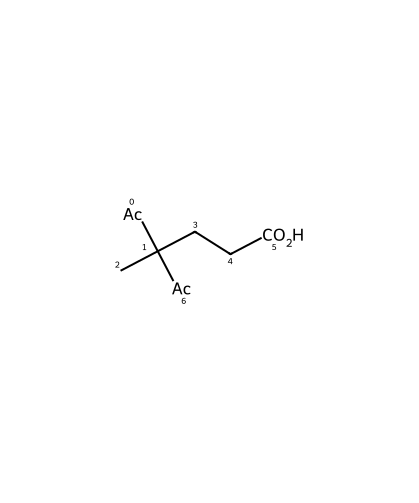 CC(=O)C(C)(CCC(=O)O)C(C)=O